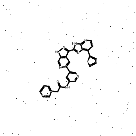 O=C(Cc1ccccc1)Nc1cncc(-c2cc3c(-c4nc5c(-c6cccs6)ccnc5[nH]4)n[nH]c3cn2)c1